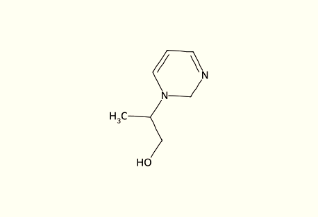 CC(CO)N1C=CC=NC1